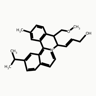 COCC1c2ccc(C)cc2-c2c3cc(C(C)C)ccc3cc[n+]2C1/C=C/CO